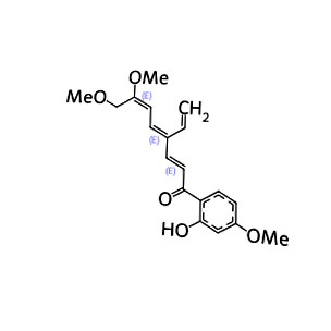 C=CC(/C=C/C(=O)c1ccc(OC)cc1O)=C\C=C(/COC)OC